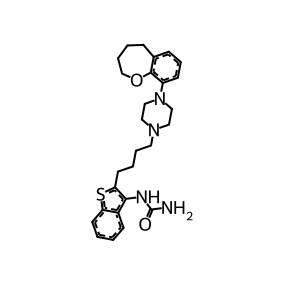 NC(=O)Nc1c(CCCCN2CCN(c3cccc4c3OCCCC4)CC2)sc2ccccc12